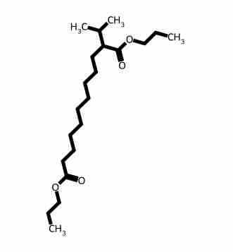 CCCOC(=O)CCCCCCCCCC(C(=O)OCCC)C(C)C